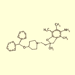 Cc1c(C)c2c(c(C)c1N)CC(C)(CCN1CCC(OC(c3ccccc3)c3ccccc3)CC1)O2